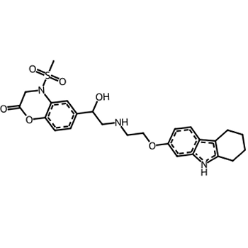 CS(=O)(=O)N1CC(=O)Oc2ccc(C(O)CNCCOc3ccc4c5c([nH]c4c3)CCCC5)cc21